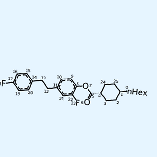 CCCCCC[C@H]1CC[C@H](C(=O)Oc2ccc(CCc3ccc(F)cc3)cc2F)CC1